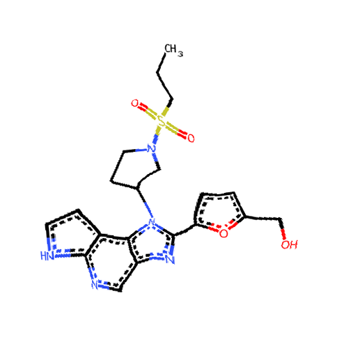 CCCS(=O)(=O)N1CCC(n2c(-c3ccc(CO)o3)nc3cnc4[nH]ccc4c32)C1